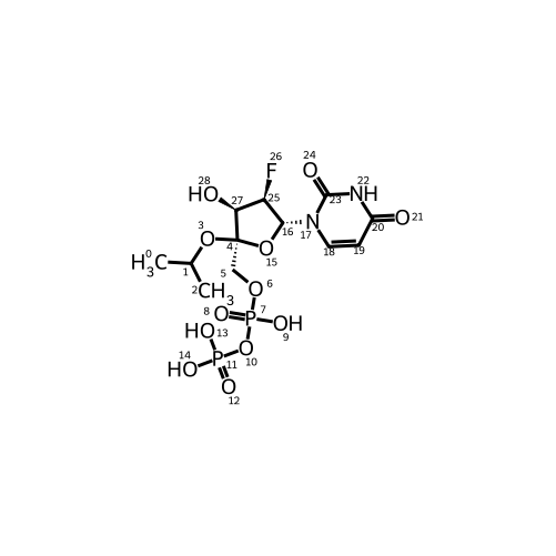 CC(C)O[C@]1(COP(=O)(O)OP(=O)(O)O)O[C@@H](n2ccc(=O)[nH]c2=O)[C@H](F)[C@@H]1O